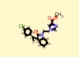 COC(=O)c1cn(CCN2C(=O)[C@@]3(C[C@H]3c3ccc(Cl)cc3)c3ccccc32)cn1